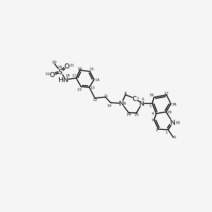 Cc1ccc2c(N3CCN(CCCc4cccc(NS(C)(=O)=O)c4)CC3)cccc2n1